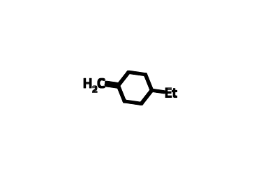 C=C1CCC(CC)CC1